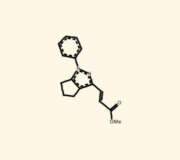 COC(=O)C=Cc1nn(-c2ccccc2)c2c1CCC2